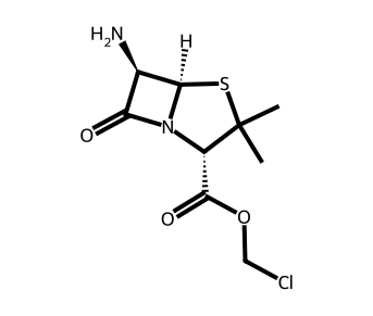 CC1(C)S[C@@H]2[C@H](N)C(=O)N2[C@H]1C(=O)OCCl